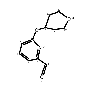 O=Cc1cccc(OC2CCOCC2)n1